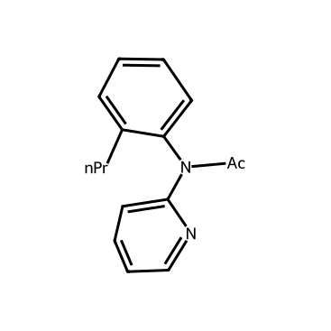 CCCc1ccccc1N(C(C)=O)c1ccccn1